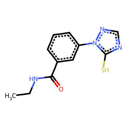 CCNC(=O)c1cccc(-n2ncnc2S)c1